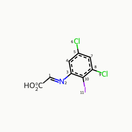 O=C(O)C=Nc1cc(Cl)cc(Cl)c1I